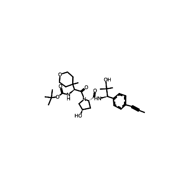 CC#Cc1ccc([C@@H](NC(=O)[C@@H]2C[C@@H](O)CN2C(=O)[C@@H](NC(=O)OC(C)(C)C)C2(C)CCOCC2)C(C)(C)O)cc1